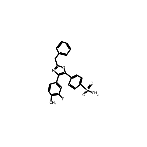 Cc1ccc(-c2nc(Cc3ccccc3)oc2-c2ccc(S(C)(=O)=O)cc2)cc1F